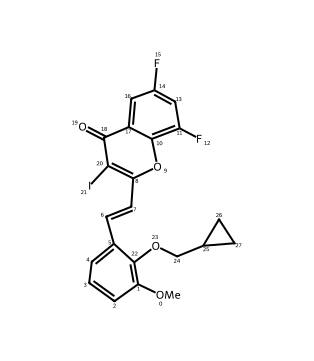 COc1cccc(/C=C/c2oc3c(F)cc(F)cc3c(=O)c2I)c1OCC1CC1